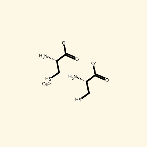 N[C@@H](CS)C(=O)[O-].N[C@@H](CS)C(=O)[O-].[Ca+2]